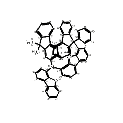 CC1(C)c2ccccc2-c2ccc(N(c3cccc4c3oc3ccccc34)c3cccc4c3oc3c(C5(c6ccccc6)c6ccccc6-c6ccccc65)cccc34)cc21